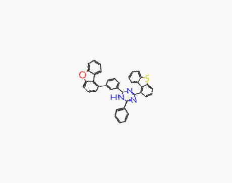 c1ccc(C2=NC(c3cccc4sc5ccccc5c34)=NC(c3cccc(-c4cccc5oc6ccccc6c45)c3)N2)cc1